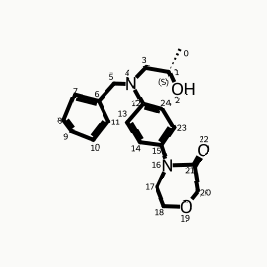 C[C@H](O)CN(Cc1ccccc1)c1ccc(N2CCOCC2=O)cc1